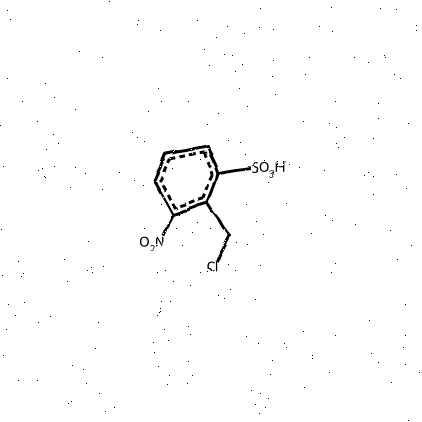 O=[N+]([O-])c1cccc(S(=O)(=O)O)c1CCl